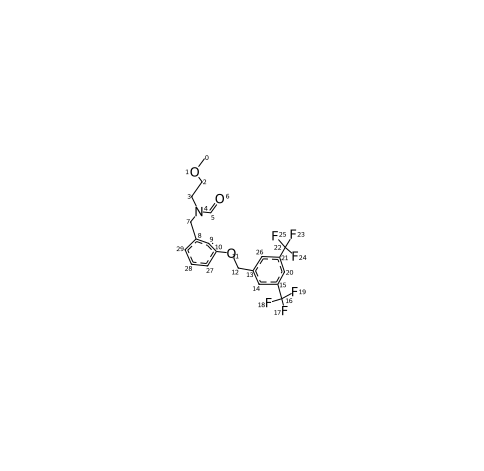 COCCN(C=O)Cc1[c]c(OCc2cc(C(F)(F)F)cc(C(F)(F)F)c2)ccc1